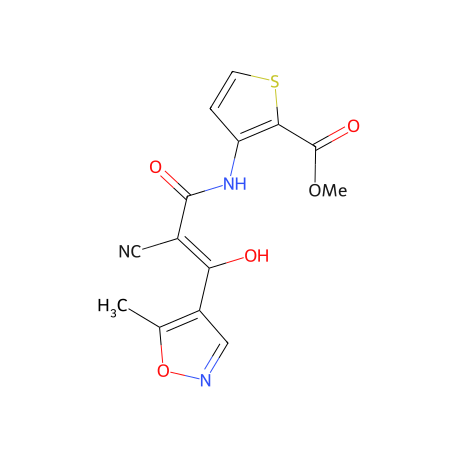 COC(=O)c1sccc1NC(=O)C(C#N)=C(O)c1cnoc1C